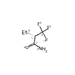 CC[C@@H](C(N)=O)C(F)(F)F